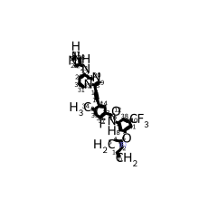 C=C/C=C(\C=C)Oc1cc(NC(=O)c2cc(C#Cc3cnc4c(Nc5cn[nH]c5)cccn34)c(C)cc2F)cc(C(F)(F)F)c1